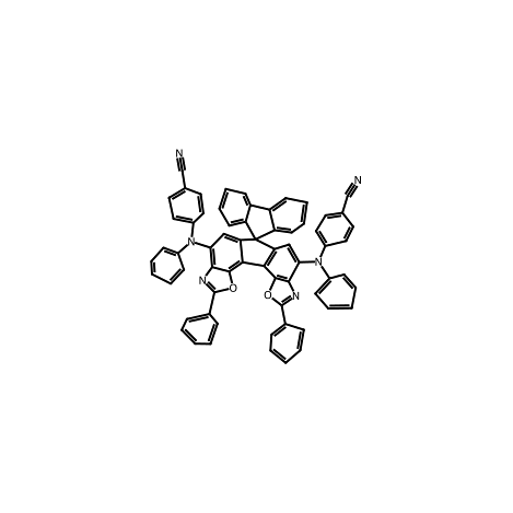 N#Cc1ccc(N(c2ccccc2)c2cc3c(c4oc(-c5ccccc5)nc24)-c2c(cc(N(c4ccccc4)c4ccc(C#N)cc4)c4nc(-c5ccccc5)oc24)C32c3ccccc3-c3ccccc32)cc1